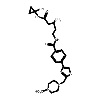 CC(CCNC(=O)c1ccc(-c2csc(CN3CCN(C(=O)O)CC3)n2)cc1)CC(=O)NC1(C#N)CC1